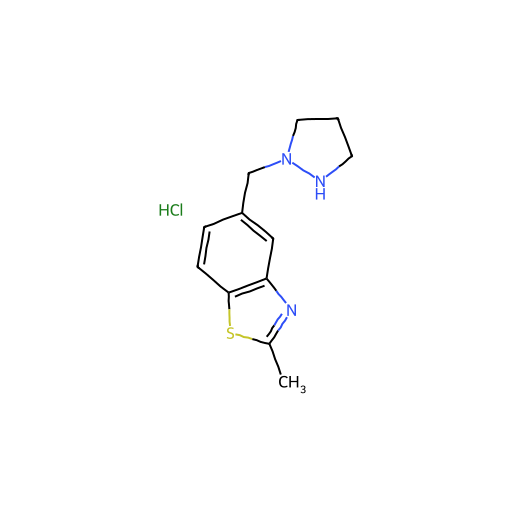 Cc1nc2cc(CN3CCCN3)ccc2s1.Cl